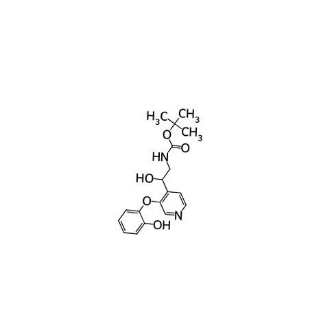 CC(C)(C)OC(=O)NCC(O)c1ccncc1Oc1ccccc1O